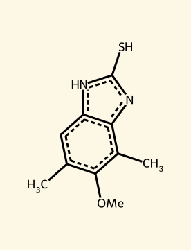 COc1c(C)cc2[nH]c(S)nc2c1C